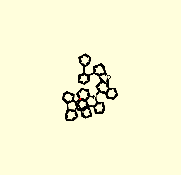 c1ccc(-c2ccccc2-c2cccc3oc4c5ccccc5c(N(c5ccccc5-c5ccccc5)c5cccc6c5-c5ccccc5C65c6ccccc6-c6ccccc65)cc4c23)cc1